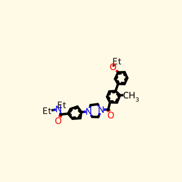 CCOc1cccc(-c2ccc(C(=O)N3CCN(c4ccc(C(=O)N(CC)CC)cc4)CC3)cc2C)c1